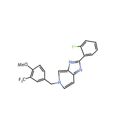 COc1ccc(Cn2ccc3nc(-c4ccccc4F)nc-3c2)cc1C(F)(F)F